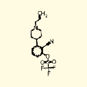 C=CCN1CCC(c2cccc(OS(=O)(=O)C(F)(F)F)c2C#N)CC1